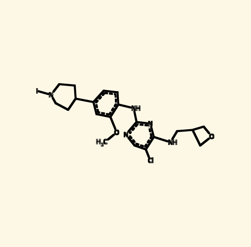 COc1cc(C2CCN(I)CC2)ccc1Nc1ncc(Cl)c(NCC2COC2)n1